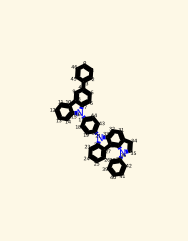 c1ccc(-c2ccc3c(c2)c2ccccc2n3-c2ccc(-n3c4ccccc4c4c5c(ccc43)ccn5-c3ccccc3)cc2)cc1